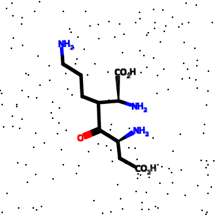 NCCCC(C(=O)[C@@H](N)CC(=O)O)[C@H](N)C(=O)O